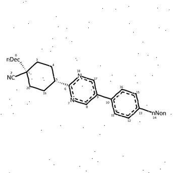 CCCCCCCCCC[C@]1(C#N)CC[C@H](c2ncc(-c3ccc(CCCCCCCCC)cc3)cn2)CC1